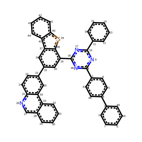 c1ccc(-c2ccc(-c3nc(-c4ccccc4)nc(-c4cc(-c5ccc6ncc7ccccc7c6c5)cc5c4sc4ccccc45)n3)cc2)cc1